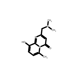 Cc1ccc(O)c2nc(CN(C)C)cc(=O)n12